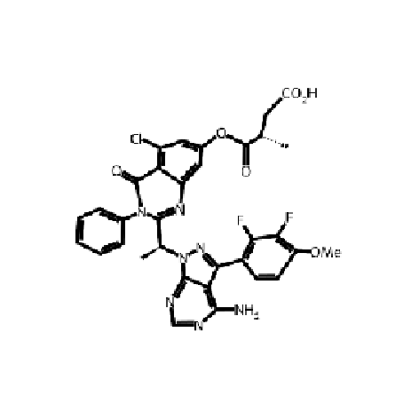 COc1ccc(-c2nn([C@@H](C)c3nc4cc(OC(=O)[C@@H](C)CC(=O)O)cc(Cl)c4c(=O)n3-c3ccccc3)c3ncnc(N)c23)c(F)c1F